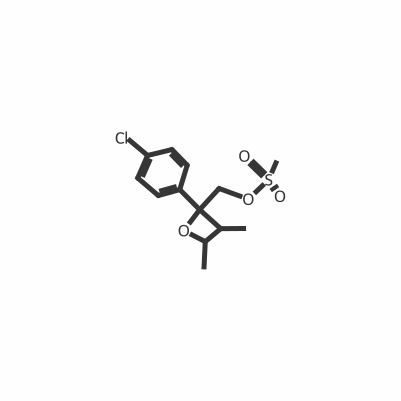 CC1OC(COS(C)(=O)=O)(c2ccc(Cl)cc2)C1C